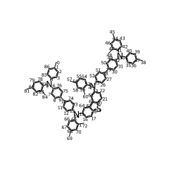 Cc1ccc(N(c2ccc(-c3ccc(N(c4ccc5sc6ccc(N(c7ccc(-c8ccc(N(c9ccc(C)cc9)c9ccc(C)cc9C)cc8)cc7)c7ccc(C)cc7C)cc6c5c4)c4ccc(C)cc4C)cc3)cc2)c2ccc(C)cc2C)cc1